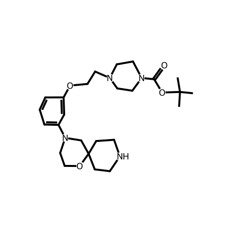 CC(C)(C)OC(=O)N1CCN(CCOc2cccc(N3CCOC4(CCNCC4)C3)c2)CC1